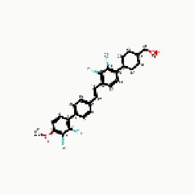 CCOc1ccc(-c2ccc(/C=C/c3ccc(C4CCC(CO)CC4)c(F)c3F)cc2)c(F)c1F